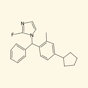 Cc1cc(C2CCCC2)ccc1C(c1ccccc1)n1ccnc1F